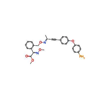 CO/N=C(/C(=O)OC)c1ccccc1CO/N=C(\C)C#Cc1ccc(Oc2ccc(P)cc2)cc1